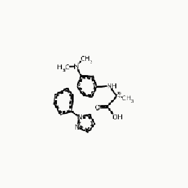 C[C@@H](Nc1cccc(N(C)C)c1)C(=O)O.c1ccc(-n2cccn2)cc1